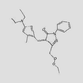 CCOOCC1=NN(c2ccccc2)C(=O)/C1=C\c1ccc(N(CC)CC)cc1C